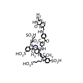 CC1(C)C(/C=C/C2=C(NC3C[C@@H](C(=O)O)N(C(=O)c4ccc(NCc5cnc6nc(N)[nH]c(=O)c6n5)cc4)C3)C(=C/C=C3/N(CCCCS(=O)(=O)O)c4ccc(S(=O)(=O)O)cc4C3(C)C)/CCC2)=[N+](CCCCS(=O)(=O)O)c2ccc(S(=O)(=O)O)cc21